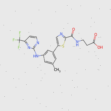 Cc1cc(Nc2nccc(C(F)(F)F)n2)cc(-c2cnc(C(=O)NCCC(=O)O)s2)c1